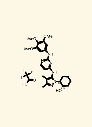 COc1cc(Nc2nccc(Nc3c(C)c(C)nn3[C@H]3CCCC[C@@H]3O)n2)cc(OC)c1OC.O=C(O)C(F)(F)F